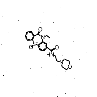 CCN1C(=O)c2ccccc2[S+]([O-])c2ccc(C(=O)NCCN3CCOCC3)cc21